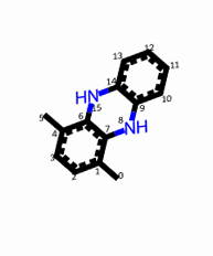 Cc1ccc(C)c2c1Nc1ccccc1N2